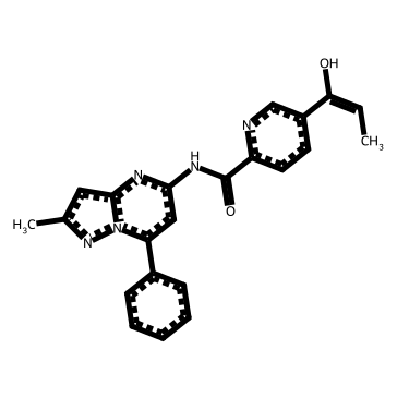 C/C=C(/O)c1ccc(C(=O)Nc2cc(-c3ccccc3)n3nc(C)cc3n2)nc1